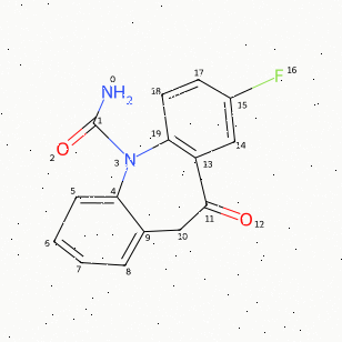 NC(=O)N1c2ccccc2CC(=O)c2cc(F)ccc21